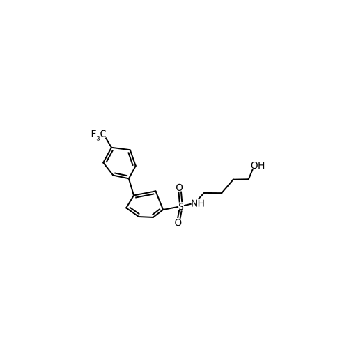 O=S(=O)(NCCCCO)c1cccc(-c2ccc(C(F)(F)F)cc2)c1